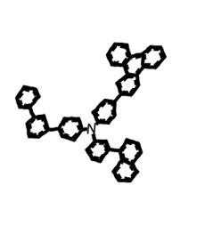 c1ccc(-c2cccc(-c3ccc(N(c4ccc(-c5ccc6c7ccccc7c7ccccc7c6c5)cc4)c4cccc(-c5cccc6ccccc56)c4)cc3)c2)cc1